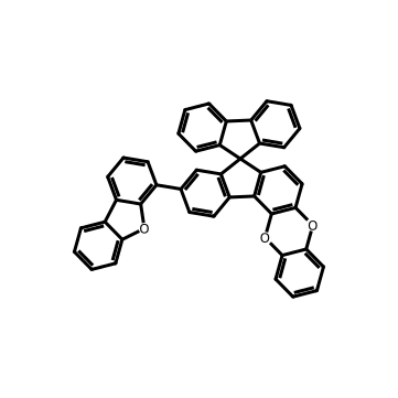 c1ccc2c(c1)Oc1ccc3c(c1O2)-c1ccc(-c2cccc4c2oc2ccccc24)cc1C31c2ccccc2-c2ccccc21